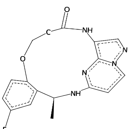 C[C@@H]1Nc2ccn3ncc(c3n2)NC(=O)CCOc2ccc(F)cc21